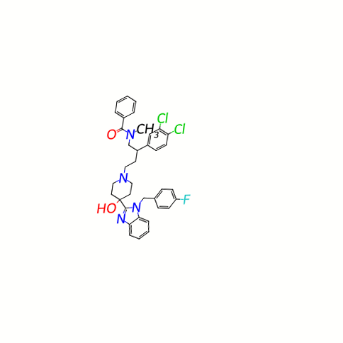 CN(CC(CCN1CCC(O)(c2nc3ccccc3n2Cc2ccc(F)cc2)CC1)c1ccc(Cl)c(Cl)c1)C(=O)c1ccccc1